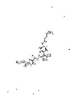 CCCCCCc1ccc(N2C(=O)COC2CCCc2ccc(C(=O)OC)s2)cc1